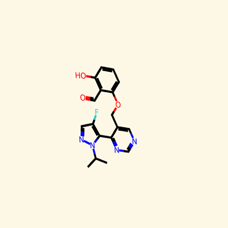 CC(C)n1ncc(F)c1-c1ncncc1COc1cccc(O)c1C=O